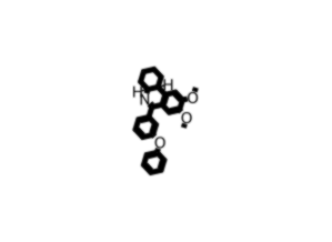 COc1cc2c(cc1OC)[C@@H]1CCCC[C@@H]1N=C2c1cccc(Oc2ccccc2)c1